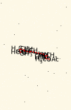 CC(=O)O[C@H]1CC(C)(C)C(=C=C/C(C)=C/C=C/C(C)=C/C=C/C=C(C)/C=C/C=C(\C)C(=O)CC2C(C)(C)CC(O)C[C@@]2(C)O)[C@](C)(N=O)C1